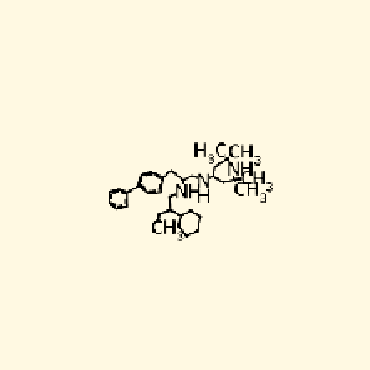 CCC(CN[C@H](CNC1CC(C)(C)NC(C)(C)C1)Cc1ccc(-c2ccccc2)cc1)C1CCCCC1